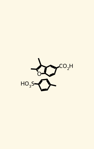 Cc1ccc(S(=O)(=O)O)cc1.Cc1oc2ccc(C(=O)O)cc2c1C